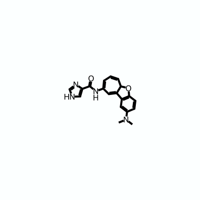 CN(C)c1ccc2c(c1)C1=CC(NC(=O)c3c[nH]cn3)=CC=CC1O2